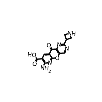 Nc1nc2oc3cnc(C4CNC4)nc3c(=O)c2cc1C(=O)O